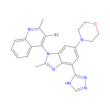 CCc1c(C)nc2ccccc2c1-n1c(C)nc2c(-c3nnc[nH]3)cc(N3CCOCC3)cc21